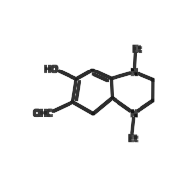 CCN1CCN(CC)C2CC(C=O)=C(O)C=C21